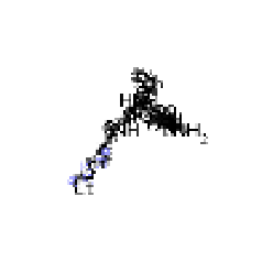 CC/C=C\C/C=C\C/C=C\C/C=C\C/C=C\CCCC(=O)NCCSSCCNP(=O)(OC[C@H]1OC(n2cnc(N)nc2=O)[C@H](O)[C@@H]1O)Oc1cccc2ccccc12